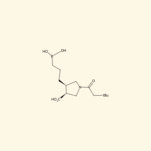 CC(C)(C)CC(=O)N1C[C@H](CCCB(O)O)[C@H](C(=O)O)C1